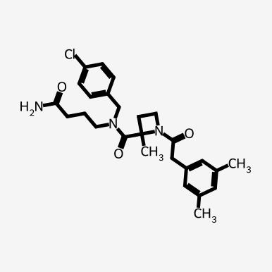 Cc1cc(C)cc(CC(=O)N2CCC2(C)C(=O)N(CCCC(N)=O)Cc2ccc(Cl)cc2)c1